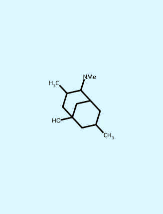 CNC1C(C)CC2(O)CC(C)CC1C2